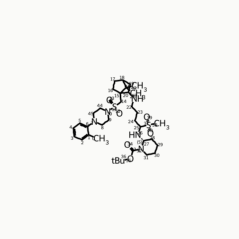 Cc1ccccc1N1CCN(S(=O)(=O)CC23CCC(CC2NCCCC(N[C@@H]2CCCCN2C(=O)OC(C)(C)C)S(C)(=O)=O)C3(C)C)CC1